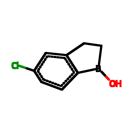 OB1CCc2cc(Cl)ccc21